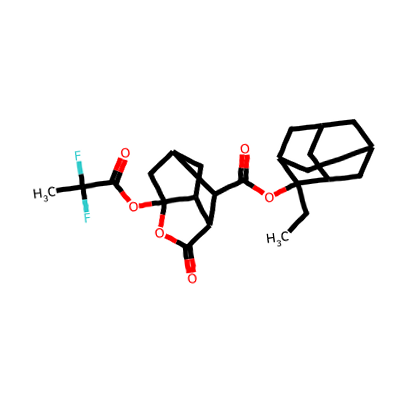 CCC1(OC(=O)C2C3CC4C2C(=O)OC4(OC(=O)C(C)(F)F)C3)C2CC3CC(C2)CC1C3